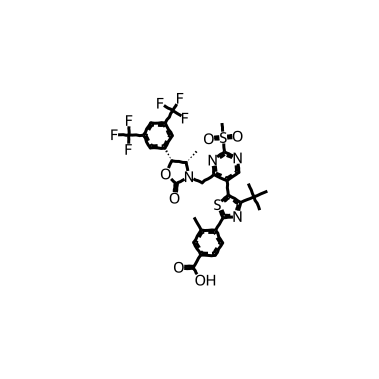 Cc1cc(C(=O)O)ccc1-c1nc(C(C)(C)C)c(-c2cnc(S(C)(=O)=O)nc2CN2C(=O)O[C@H](c3cc(C(F)(F)F)cc(C(F)(F)F)c3)[C@@H]2C)s1